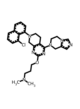 CN(C)CCCOc1nc2c(c(N3CCn4cncc4C3)n1)CCN(c1cccc3cccc(Cl)c13)C2